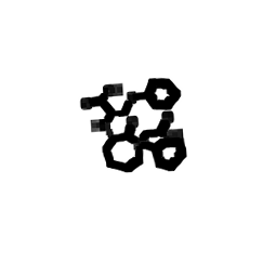 O=C(O)C[N+]1(c2ccccc2)C=CCC[C@H](N[C@@H](CSc2ccccc2)C(=O)O)C1=O